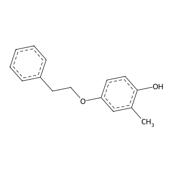 Cc1cc(OCCc2ccccc2)ccc1O